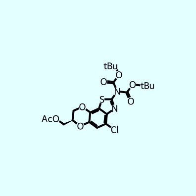 CC(=O)OC[C@H]1COc2c(cc(Cl)c3nc(N(C(=O)OC(C)(C)C)C(=O)OC(C)(C)C)sc23)O1